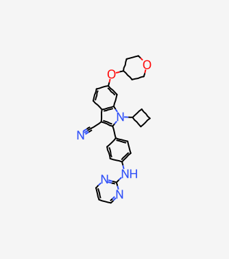 N#Cc1c(-c2ccc(Nc3ncccn3)cc2)n(C2CCC2)c2cc(OC3CCOCC3)ccc12